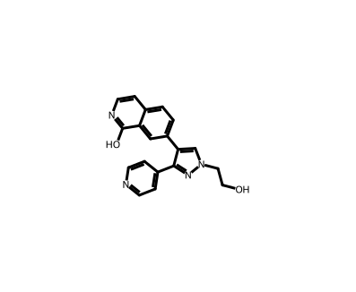 OCCn1cc(-c2ccc3ccnc(O)c3c2)c(-c2ccncc2)n1